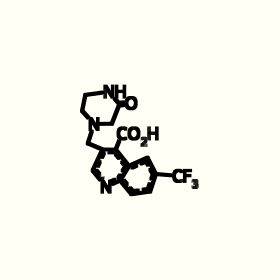 O=C1CN(Cc2cnc3ccc(C(F)(F)F)cc3c2C(=O)O)CCN1